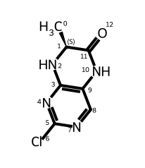 C[C@@H]1Nc2nc(Cl)ncc2NC1=O